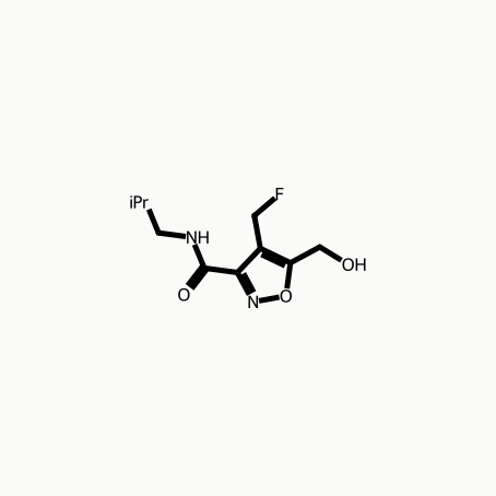 CC(C)CNC(=O)c1noc(CO)c1CF